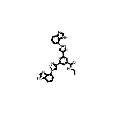 CCNC(=O)c1cc(-c2cn(-c3cccc4[nH]cnc34)nn2)nc(-c2cn(-c3cccc4nc[nH]c34)nn2)c1